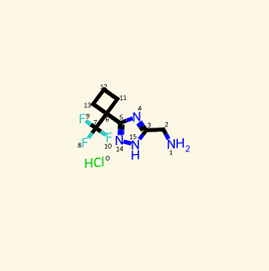 Cl.NCc1nc(C2(C(F)(F)F)CCC2)n[nH]1